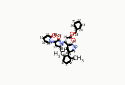 Cc1cccc(C)c1-c1cncc([C@@H](CC(=O)OCc2ccccc2)N2C(=O)C(n3ccccc3=O)CC2C)c1